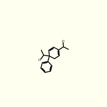 CC(Cl)C1=CCC(c2ccccc2)(C(C)Cl)C=C1